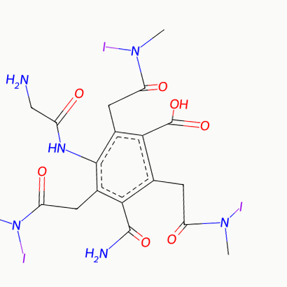 CN(I)C(=O)Cc1c(NC(=O)CN)c(CC(=O)N(C)I)c(C(=O)O)c(CC(=O)N(C)I)c1C(N)=O